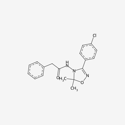 CC1(C)ON=C(c2ccc(Cl)cc2)N1NC(=O)Cc1ccccc1